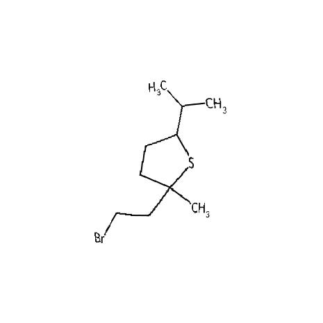 CC(C)C1CCC(C)(CCBr)S1